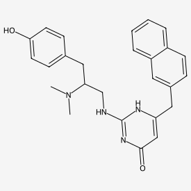 CN(C)C(CNc1nc(=O)cc(Cc2ccc3ccccc3c2)[nH]1)Cc1ccc(O)cc1